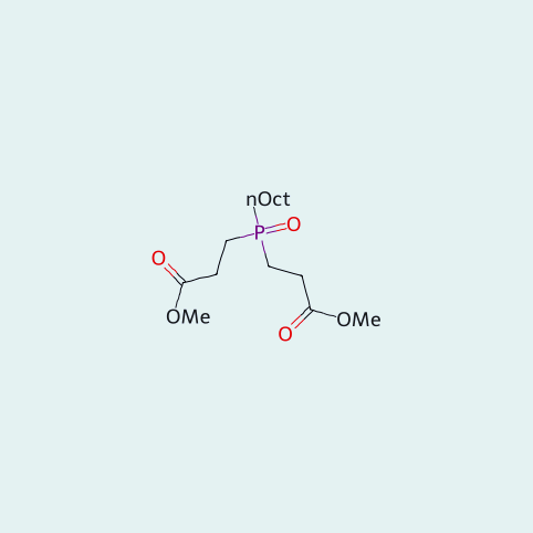 CCCCCCCCP(=O)(CCC(=O)OC)CCC(=O)OC